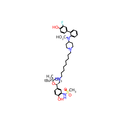 CC(C)(C)[Si](C)(C)O[C@@H](CNCCCCCCCCCN1CCC(N(C(=O)O)c2ccccc2-c2ccc(O)c(F)c2)CC1)c1ccc(O)c(NS(C)(=O)=O)c1